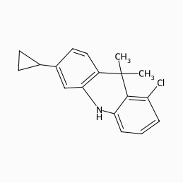 CC1(C)c2ccc(C3CC3)cc2Nc2cccc(Cl)c21